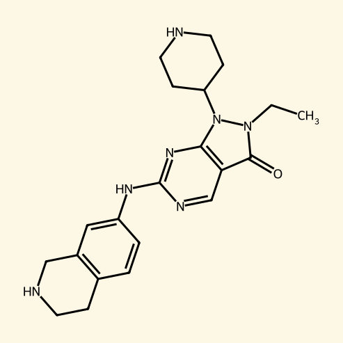 CCn1c(=O)c2cnc(Nc3ccc4c(c3)CNCC4)nc2n1C1CCNCC1